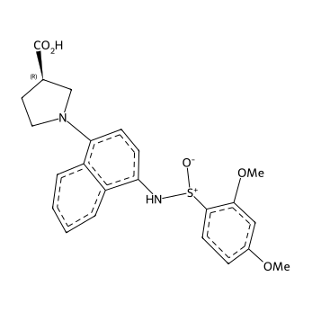 COc1ccc([S+]([O-])Nc2ccc(N3CC[C@@H](C(=O)O)C3)c3ccccc23)c(OC)c1